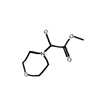 COC(=O)C([O])N1CCOCC1